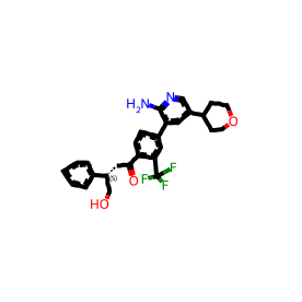 Nc1ncc(C2CCOCC2)cc1-c1ccc(C(=O)C[C@H](CO)c2ccccc2)c(C(F)(F)F)c1